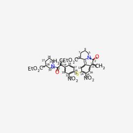 C=C(C(=O)N1CCCC(C(=O)OCC)C1)c1ccc(Sc2ccc(C(=C)C(=O)N3CCCC(C(=O)OCC)C3)cc2[N+](=O)[O-])c([N+](=O)[O-])c1